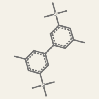 Cc1cc(-c2cc(C)cc([Si](C)(C)C)c2)cc([Si](C)(C)C)c1